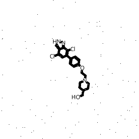 OCC1CCN(CCOc2ccc(-c3cc(Cl)c4c[nH]nc4c3Cl)cc2)CC1